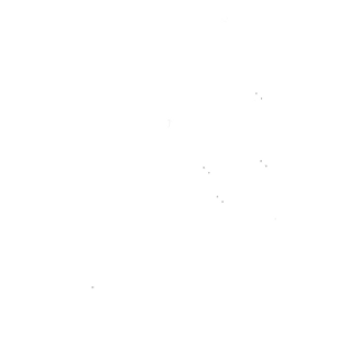 CC(C)Oc1nc(-c2ncc(Br)cc2Cl)nn1COCC[Si](C)(C)C